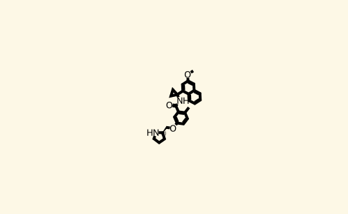 COc1cc(C2(NC(=O)c3cc(OC[C@H]4CCCN4)ccc3C)CC2)c2ccccc2c1